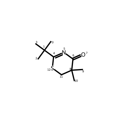 CC(C)(C)C1=NC(=O)C(C)(C)CS1